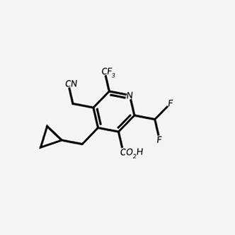 N#CCc1c(C(F)(F)F)nc(C(F)F)c(C(=O)O)c1CC1CC1